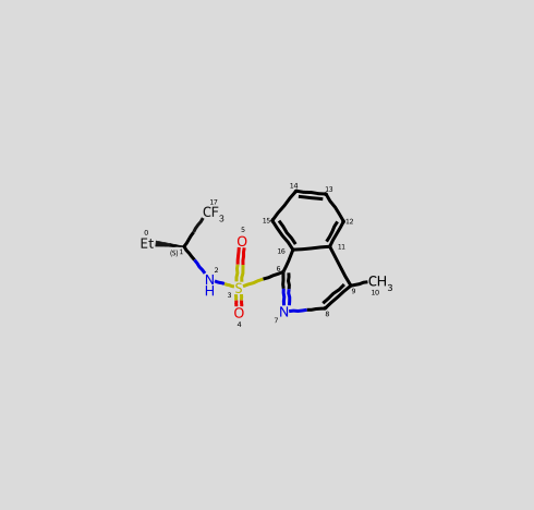 CC[C@H](NS(=O)(=O)c1ncc(C)c2ccccc12)C(F)(F)F